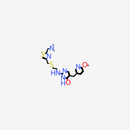 COc1ccc(Cc2cnc(NCCSCc3csc(CN(C)C)n3)[nH]c2=O)cn1